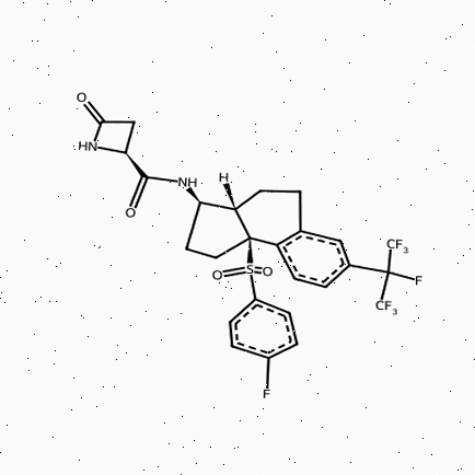 O=C1C[C@@H](C(=O)N[C@@H]2CC[C@@]3(S(=O)(=O)c4ccc(F)cc4)c4ccc(C(F)(C(F)(F)F)C(F)(F)F)cc4CC[C@@H]23)N1